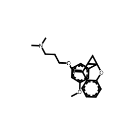 COc1cccc(C23CC2C(=NOCCCN(C)C)c2ccccc2O3)c1